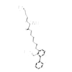 NCCCC[C@H](N)C(=O)CCCCCCc1cccc(-c2ccccc2)c1CN